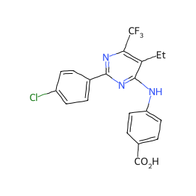 CCc1c(Nc2ccc(C(=O)O)cc2)nc(-c2ccc(Cl)cc2)nc1C(F)(F)F